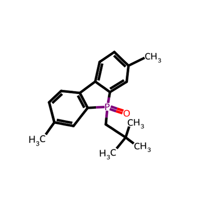 Cc1ccc2c(c1)P(=O)(CC(C)(C)C)c1cc(C)ccc1-2